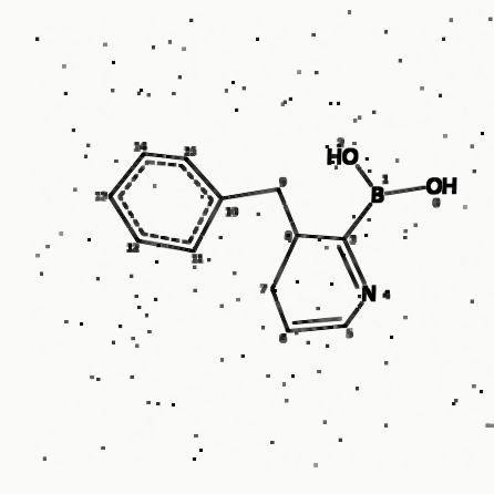 OB(O)C1=NC=CCC1Cc1ccccc1